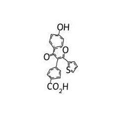 O=C(O)c1ccc(-c2c(-c3cccs3)oc3cc(O)ccc3c2=O)cc1